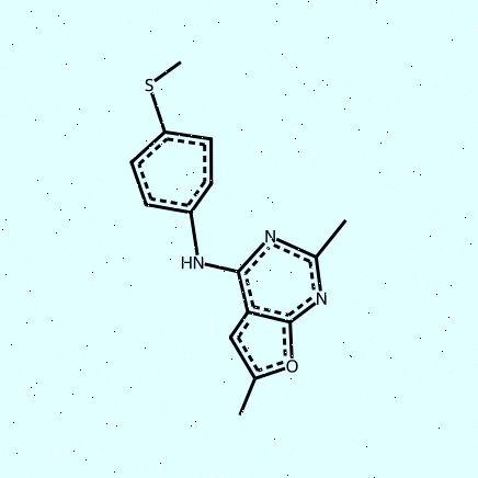 CSc1ccc(Nc2nc(C)nc3oc(C)cc23)cc1